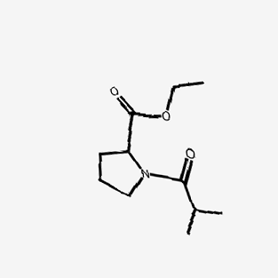 CCOC(=O)C1CCCN1C(=O)C(C)C